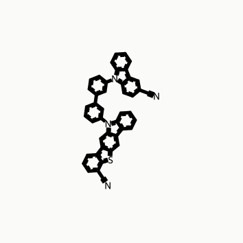 N#Cc1ccc2c(c1)c1ccccc1n2-c1cccc(-c2cccc(-n3c4ccccc4c4cc5sc6c(C#N)cccc6c5cc43)c2)c1